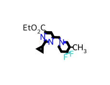 CCOC(=O)c1cc(CN2CCC(F)(F)[C@H](C)C2)nc(C2CC2)n1